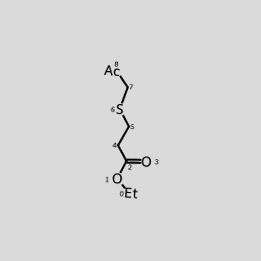 CCOC(=O)CCSCC(C)=O